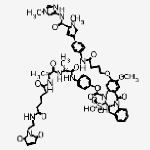 COc1cc2c(cc1OCCCC(=O)Nc1ccc(-c3cc(C(=O)Nc4cn(C)cn4)n(C)c3)cc1)N(C(=O)Oc1ccc(NC(=O)[C@@H](C)NC(=O)[C@@H](C)NC(=O)CCCCC(=O)NCCN3C(=O)C=CC3=O)cc1)C(S(=O)(=O)O)[C@@H]1Cc3ccccc3N1C2=O